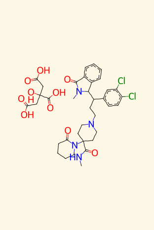 CNC(=O)C1(N2CCCCC2=O)CCN(CCC(c2ccc(Cl)c(Cl)c2)C2c3ccccc3C(=O)N2C)CC1.O=C(O)CC(O)(CC(=O)O)C(=O)O